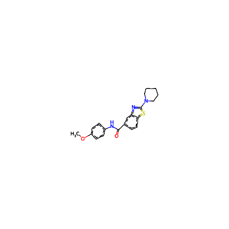 COc1ccc(NC(=O)c2ccc3sc(N4CCCCC4)nc3c2)cc1